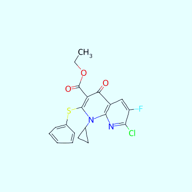 CCOC(=O)c1c(Sc2ccccc2)n(C2CC2)c2nc(Cl)c(F)cc2c1=O